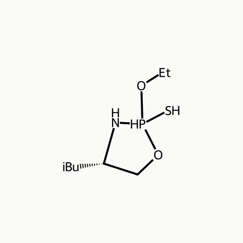 CCO[PH]1(S)N[C@@H](C(C)CC)CO1